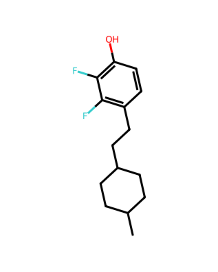 CC1CCC(CCc2ccc(O)c(F)c2F)CC1